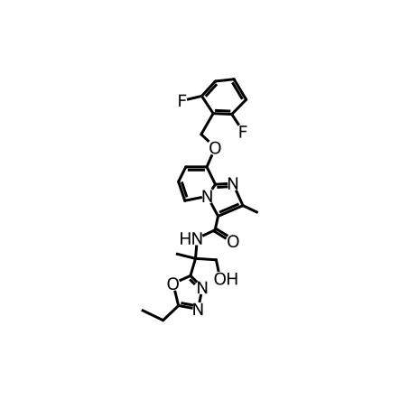 CCc1nnc(C(C)(CO)NC(=O)c2c(C)nc3c(OCc4c(F)cccc4F)cccn23)o1